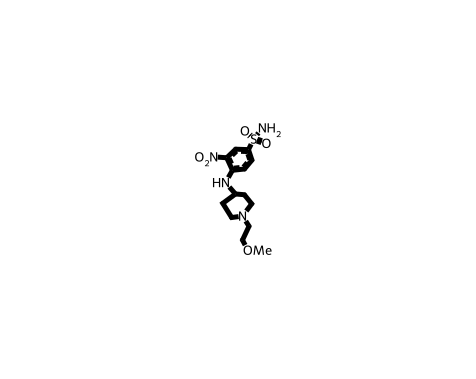 COCCN1CCC(Nc2ccc(S(N)(=O)=O)cc2[N+](=O)[O-])CC1